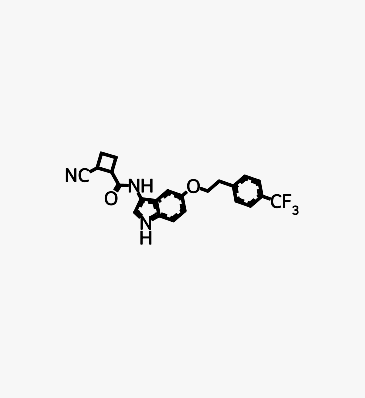 N#CC1CCC1C(=O)Nc1c[nH]c2ccc(OCCc3ccc(C(F)(F)F)cc3)cc12